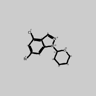 Clc1cc(Br)cc2c1cnn2C1CCCCO1